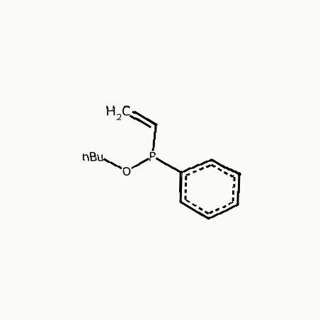 C=CP(OCCCC)c1ccccc1